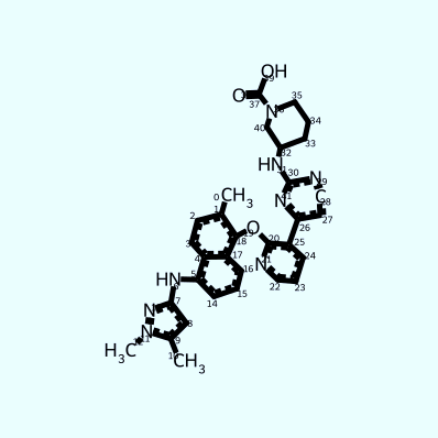 Cc1ccc2c(Nc3cc(C)n(C)n3)cccc2c1Oc1ncccc1-c1ccnc(NC2CCCN(C(=O)O)C2)n1